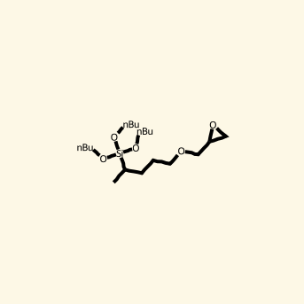 CCCCO[Si](OCCCC)(OCCCC)C(C)CCCOCC1CO1